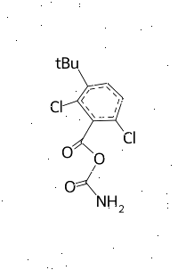 CC(C)(C)c1ccc(Cl)c(C(=O)OC(N)=O)c1Cl